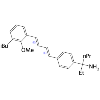 CCCC(N)(CC)c1ccc(/C=C/C=C/c2cccc(C(C)CC)c2OC)cc1